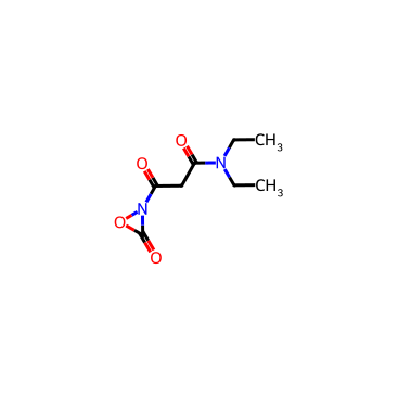 CCN(CC)C(=O)CC(=O)N1OC1=O